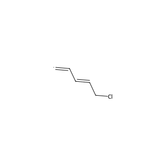 [CH]=CC=CCCl